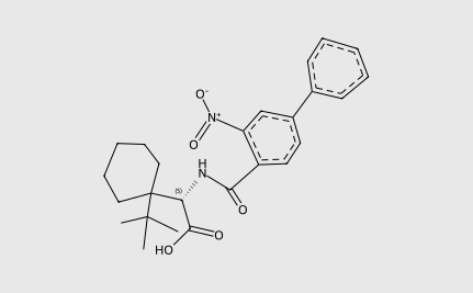 CC(C)(C)C1([C@H](NC(=O)c2ccc(-c3ccccc3)cc2[N+](=O)[O-])C(=O)O)CCCCC1